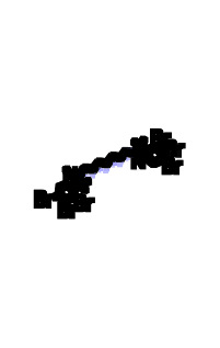 CN1\C(=C/C=C/C=C/C=C/C2=[N+](C)c3cc(Br)c(Br)c(Br)c3C2(C)C)C(C)(C)c2c1cc(Br)c(Br)c2Br